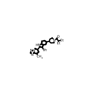 CCC(CC)C(=O)N1CCC(c2ccc3[nH]c(-c4cc(C)c5ncnn5c4)c(C(C)C)c3c2)CC1